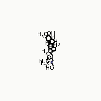 C=NN(/C=C(\C)CO)CC(=O)[C@H]1CC[C@H]2[C@@H]3CC[C@H]4C[C@](C)(O)CC[C@]4(C)[C@H]3CC[C@]12C